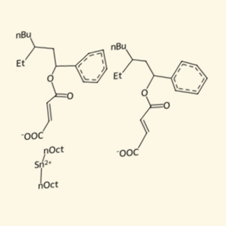 CCCCC(CC)CC(OC(=O)C=CC(=O)[O-])c1ccccc1.CCCCC(CC)CC(OC(=O)C=CC(=O)[O-])c1ccccc1.CCCCCCC[CH2][Sn+2][CH2]CCCCCCC